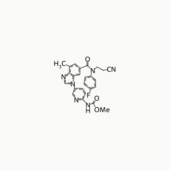 COC(=O)Nc1ccc(-n2cnc3c(C)cc(C(=O)N(CCC#N)c4ccc(F)cc4)cc32)cn1